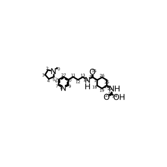 CN1CCC[C@H]1c1cncc(CCCNC(=O)C2CCC(NC(=O)O)CC2)c1